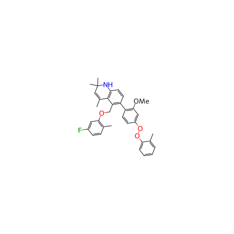 COc1cc(OOc2ccccc2C)ccc1-c1ccc2c(c1COc1cc(F)ccc1C)C(C)=CC(C)(C)N2